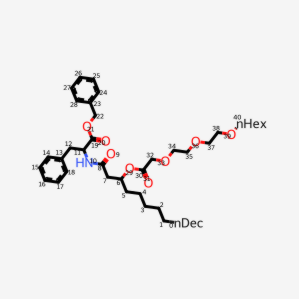 CCCCCCCCCCCCCCCC(CC(=O)NC(Cc1ccccc1)C(=O)OCc1ccccc1)OC(=O)COCCOCCOCCCCCC